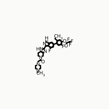 CCc1cc(OC(=O)C(F)(F)F)c(F)cc1-c1cc(F)c2c(-c3nc4c([nH]3)CCN(C(=O)CN3CCN(C)CC3)C4)n[nH]c2c1